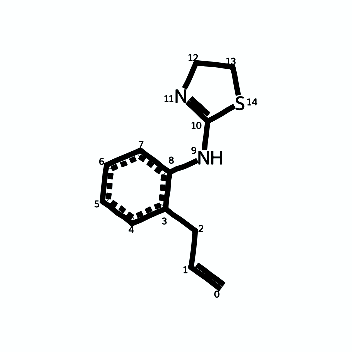 C=CCc1ccccc1NC1=NCCS1